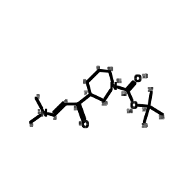 CN(C)/C=C/C(=O)C1CCCN(C(=O)OC(C)(C)C)C1